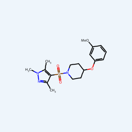 COc1cccc(OC2CCN(S(=O)(=O)c3c(C)nn(C)c3C)CC2)c1